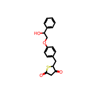 O=C1CC(=O)C(Cc2ccc(OCC(O)c3ccccc3)cc2)S1